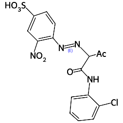 CC(=O)C(/N=N/c1ccc(S(=O)(=O)O)cc1[N+](=O)[O-])C(=O)Nc1ccccc1Cl